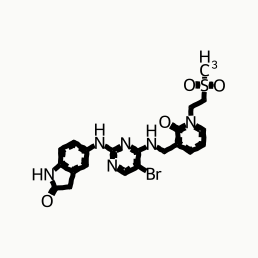 CS(=O)(=O)CCn1cccc(CNc2nc(Nc3ccc4c(c3)CC(=O)N4)ncc2Br)c1=O